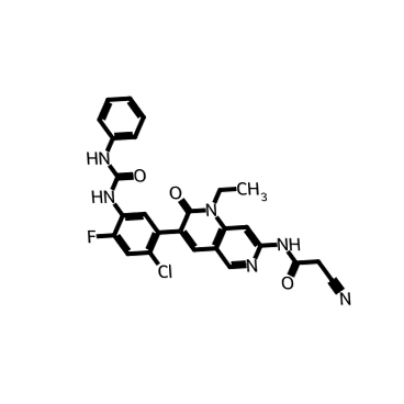 CCn1c(=O)c(-c2cc(NC(=O)Nc3ccccc3)c(F)cc2Cl)cc2cnc(NC(=O)CC#N)cc21